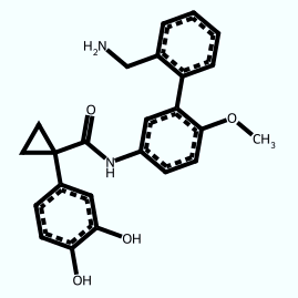 COc1ccc(NC(=O)C2(c3ccc(O)c(O)c3)CC2)cc1-c1ccccc1CN